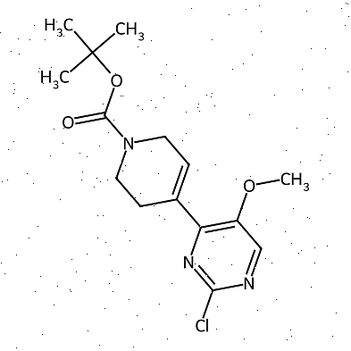 COc1cnc(Cl)nc1C1=CCN(C(=O)OC(C)(C)C)CC1